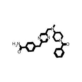 CN(Cc1cnc(Cc2ccc(C(N)=O)cc2)cn1)C1CCN(C(=O)c2ccccc2)CC1